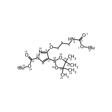 CC(C)(C)OC(=O)NCCCOc1nn(C(=O)OC(C)(C)C)cc1B1OC(C)(C)C(C)(C)O1